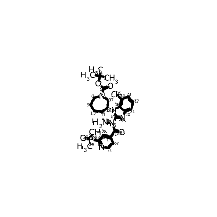 CC(C)(C)OC(=O)N1CCCC[C@@H](n2c(N(N)C(=O)c3ccnc(P(C)(C)=O)c3)nc3cccc(Cl)c32)C1